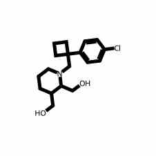 OCC1CCCN(CC2(c3ccc(Cl)cc3)CCC2)C1CO